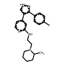 CC1CCCCN1CCNc1cc(-c2c[nH]nc2-c2ccc(F)cc2)ccn1